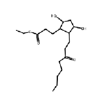 CCCCCC(=O)CCC1C(O)CC(O)C1CCC(=O)OCC